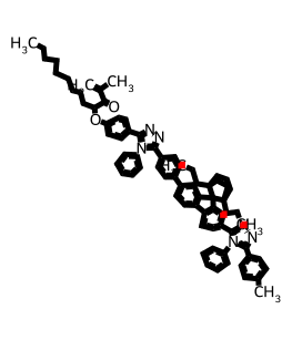 C=C(C)C(=O)C(CCCCCCCCC)Oc1ccc(-c2nnc(-c3ccc(-c4ccc5c(c4)C4(c6cc(-c7nnc(-c8ccc(C)cc8)n7-c7ccccc7)ccc6-5)C5(CCC)CCCC4(CCC)CC5)cc3)n2-c2ccccc2)cc1